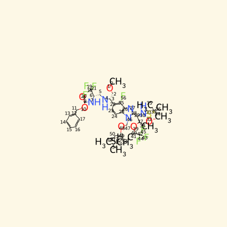 COC[C@@H](NC[C@H](NC(=O)OCc1ccccc1)C(F)(F)F)c1ccc2c(nc([C@@H](N[S@@+]([O-])C(C)(C)C)[C@@H](C)O[C@H](C)C(F)(F)F)n2COCC[Si](C)(C)C)c1F